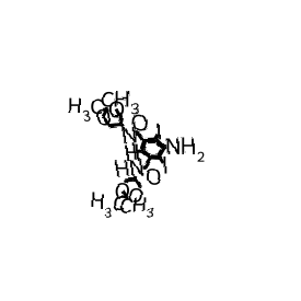 CC1(C)OCC(NC(=O)c2c(I)c(N)c(I)c(C(=O)NC3COC(C)(C)OC3)c2I)CO1